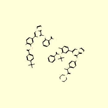 CC(C)(C)c1ccc(C(=O)Nc2cc(-c3cn4ccnc4c(Nc4ccccc4C(=O)O)n3)ccc2F)cc1.Cc1ccc(-c2cn3ccnc3c(Nc3ccc(C(C)C(=O)N4CCOCC4)cc3)n2)cc1N(C(=O)c1ccccc1)C(C)(C)C